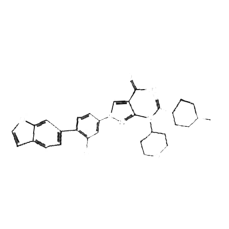 C[C@H]1CC[C@H](C(=O)N(c2nn(-c3ccc(-c4ccc5ccoc5c4)c(Cl)c3)cc2C(=O)O)C2CCOCC2)CC1